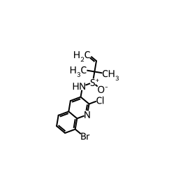 C=CC(C)(C)[S+]([O-])Nc1cc2cccc(Br)c2nc1Cl